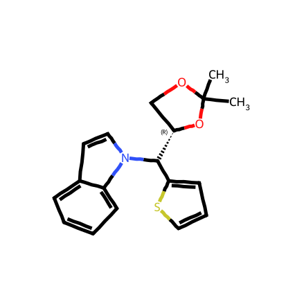 CC1(C)OC[C@@H](C(c2cccs2)n2ccc3ccccc32)O1